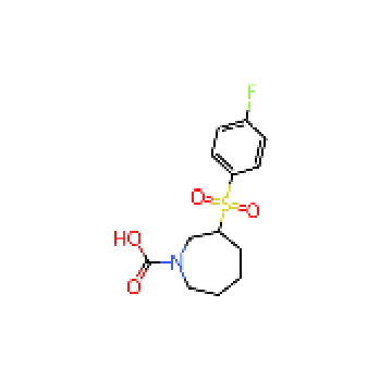 O=C(O)N1CCCCC(S(=O)(=O)c2ccc(F)cc2)C1